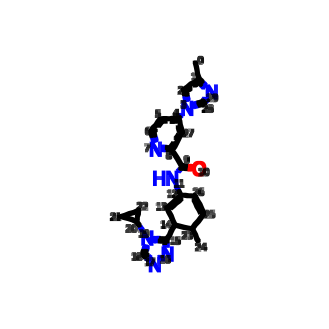 Cc1cn(-c2ccnc(C(=O)NC3=CC(c4nncn4C4CC4)C(C)C=C3)c2)cn1